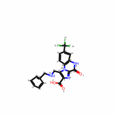 O=C(O)c1nc2c(=O)[nH]c3cc(C(F)(F)F)ccc3n2c1CNCc1ccccc1